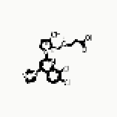 C[C@H]1CCN(c2cc(-n3ccnc3)c3ccc(Cl)c(Cl)c3n2)[C@@H]1COCCC(=O)O